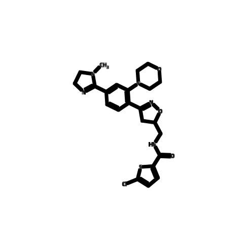 CN1CCN=C1c1ccc(C2=NOC(CNC(=O)c3ccc(Cl)s3)C2)c(N2CCOCC2)c1